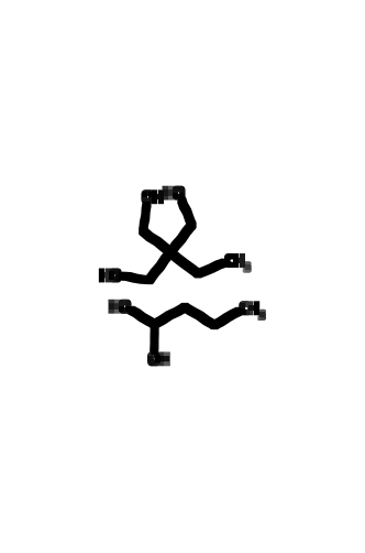 CCC(CO)(CO)CO.CCCC(O)O